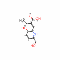 CC/C(=C\c1nc(CO)ccc1O)C(=O)O